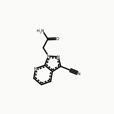 N#Cc1nn(CC(N)=O)c2ncccc12